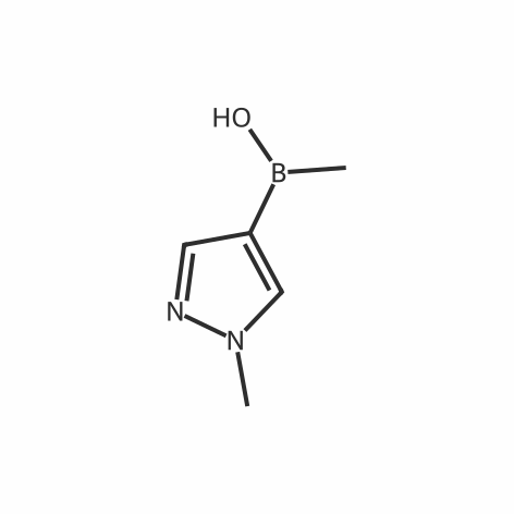 CB(O)c1cnn(C)c1